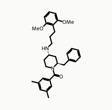 COc1cccc(OC)c1CCCN[C@H]1CCN(C(=O)c2cc(C)cc(C)c2)[C@H](Cc2ccccc2)C1